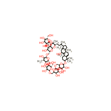 C[C@@H]1[C@@H](O)[C@H](OC[C@H]2O[C@@H](O[C@H](CC[C@@H](C)C3CC[C@@]4(C)C5CC=C6C(CC[C@H](O[C@@H]7O[C@H](CO[C@H]8O[C@H](COC9O[C@@H](CO)[C@H](O)[C@@H](O)[C@@H]9O)[C@@H](O)[C@H](O)[C@H]8O)[C@@H](O)[C@H](O)[C@H]7O)C6(C)C)[C@]5(C)[C@H](O)C[C@]34C)C(C)(C)O)[C@H](O[C@H]3O[C@@H](CO)[C@H](O)[C@@H](O)[C@@H]3O)[C@@H](O)[C@@H]2O)O[C@H](CO)[C@H]1O